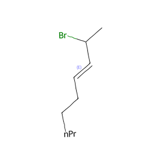 CCCCC/C=C/C(C)Br